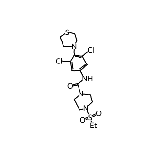 CCS(=O)(=O)N1CCN(C(=O)Nc2cc(Cl)c(N3CCSCC3)c(Cl)c2)CC1